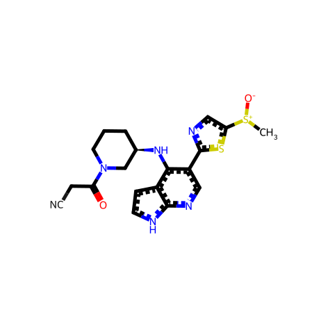 C[S+]([O-])c1cnc(-c2cnc3[nH]ccc3c2N[C@@H]2CCCN(C(=O)CC#N)C2)s1